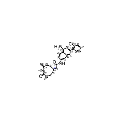 CN1CC/C(=C/C(=O)Nc2cc3cc(-c4cnccc4Cl)nc(N)c3cn2)CCC(=S)NC1=O